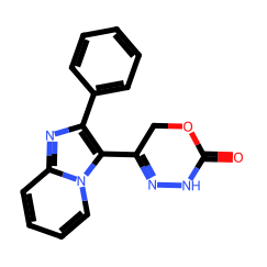 O=C1NN=C(c2c(-c3ccccc3)nc3ccccn23)CO1